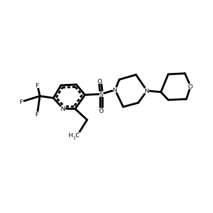 CCc1nc(C(F)(F)F)ccc1S(=O)(=O)N1CCN(C2CCOCC2)CC1